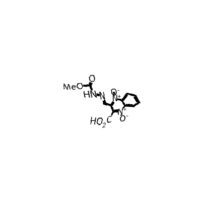 COC(=O)NN=Cc1c(C(=O)O)[n+]([O-])c2ccccc2[n+]1[O-]